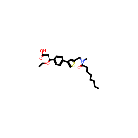 CCCCCCCC(=O)N(C)Cc1cc(-c2ccc([C@H](CC(=O)O)OCC)cc2)cs1